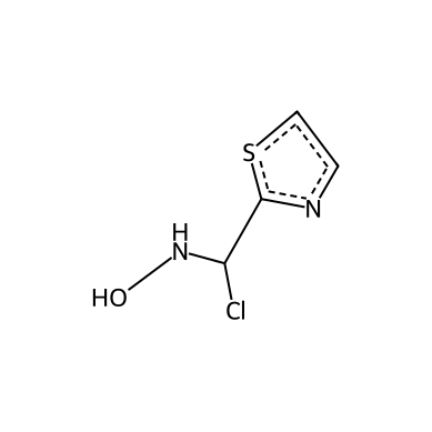 ONC(Cl)c1nccs1